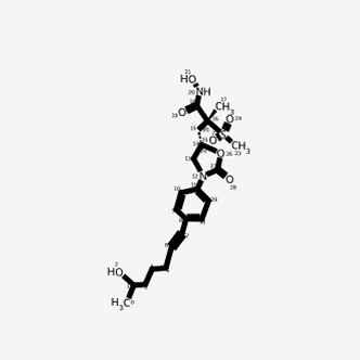 CC(O)CCCC#Cc1ccc(N2C[C@H](C[C@](C)(C(=O)NO)S(C)(=O)=O)OC2=O)cc1